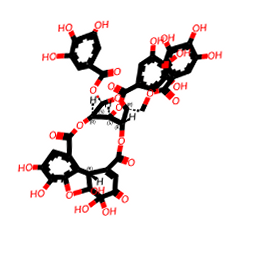 O=C1O[C@H]2[C@H](OC(=O)c3cc(O)c(O)c(O)c3)[C@@H](OC(=O)c3cc(O)c(O)c4c3[C@@H]3C1=CC(=O)C(O)(O)C3(O)O4)[C@H](OC(=O)c1cc(O)c(O)c(O)c1)O[C@@H]2COC(=O)c1cc(O)c(O)c(O)c1